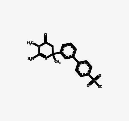 CCS(=O)(=O)c1ccc(-c2cccc(C3(C)CC(=O)N(C)C(N)=N3)c2)cc1